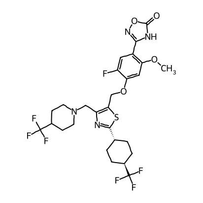 COc1cc(OCc2sc([C@H]3CC[C@H](C(F)(F)F)CC3)nc2CN2CCC(C(F)(F)F)CC2)c(F)cc1-c1noc(=O)[nH]1